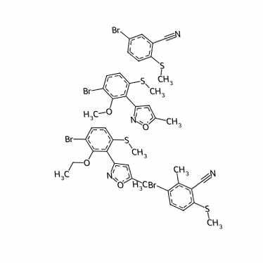 CCOc1c(Br)ccc(SC)c1-c1cc(C)on1.COc1c(Br)ccc(SC)c1-c1cc(C)on1.CSc1ccc(Br)c(C)c1C#N.CSc1ccc(Br)cc1C#N